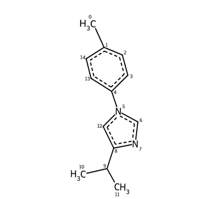 Cc1ccc(-n2cnc(C(C)C)c2)cc1